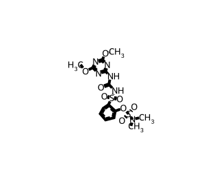 COc1nc(NC(=O)NS(=O)(=O)c2ccccc2OS(=O)(=O)N(C)C)nc(OC)n1